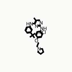 Cc1cnc(Nc2ccc(OCCN3CCCC3)cc2)nc1Nc1cccc(C(C)(C)C)c1.Cl